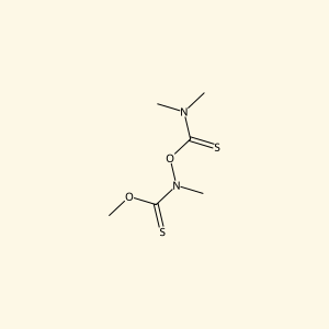 COC(=S)N(C)OC(=S)N(C)C